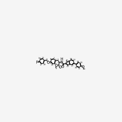 COC(=O)C(Cc1ccc(OCc2ccc(F)cc2)cc1)NC(=O)c1cc2cc(-c3ccc(OC)cc3)ccc2s1